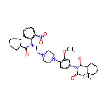 COc1cc(N(C(C)=O)C(=O)C2CCCCC2)ccc1N1CCN(CCN(C(=O)C2CCCCC2)c2ccccc2[N+](=O)[O-])CC1